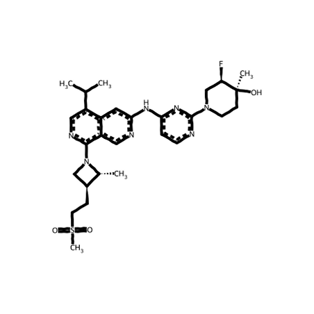 CC(C)c1cnc(N2C[C@H](CCS(C)(=O)=O)[C@H]2C)c2cnc(Nc3ccnc(N4CC[C@](C)(O)[C@H](F)C4)n3)cc12